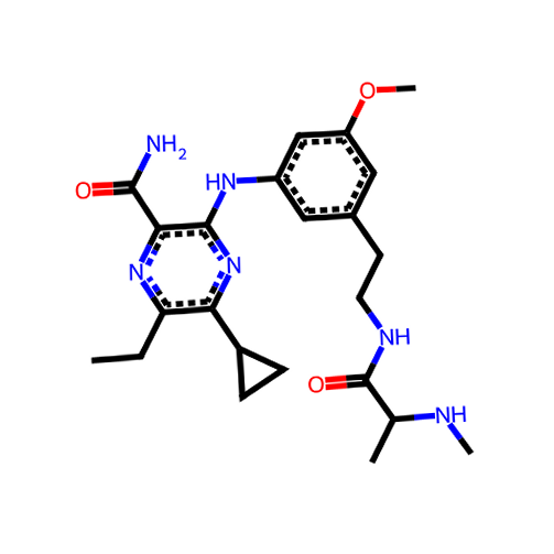 CCc1nc(C(N)=O)c(Nc2cc(CCNC(=O)C(C)NC)cc(OC)c2)nc1C1CC1